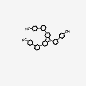 N#Cc1ccc(-c2cccc(-c3ccc4c(c3)c3cc(-c5cccc(-c6ccc(C#N)cc6)c5)ccc3n4-c3cccc(-c4ccc(C#N)cc4)c3)c2)cc1